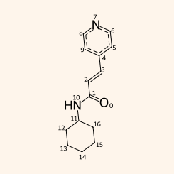 O=C(/C=C/c1ccncc1)NC1CCCCC1